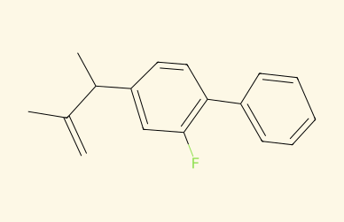 C=C(C)C(C)c1ccc(-c2ccccc2)c(F)c1